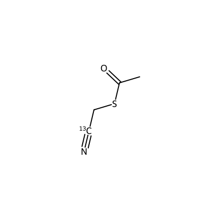 CC(=O)SC[13C]#N